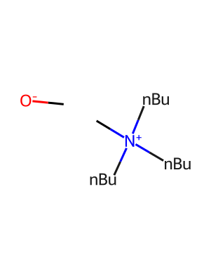 CCCC[N+](C)(CCCC)CCCC.C[O-]